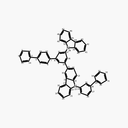 c1ccc(-c2ccc(-c3cc(-c4ccc5c(c4)c4ccccc4n5-c4cccc(-c5ccccc5)c4)cc(-n4c5ccccc5c5ccccc54)c3)cc2)cc1